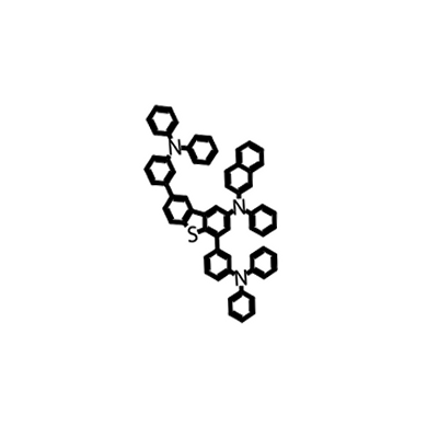 c1ccc(N(c2ccccc2)c2cccc(-c3ccc4sc5c(-c6cccc(N(c7ccccc7)c7ccccc7)c6)cc(N(c6ccccc6)c6ccc7ccccc7c6)cc5c4c3)c2)cc1